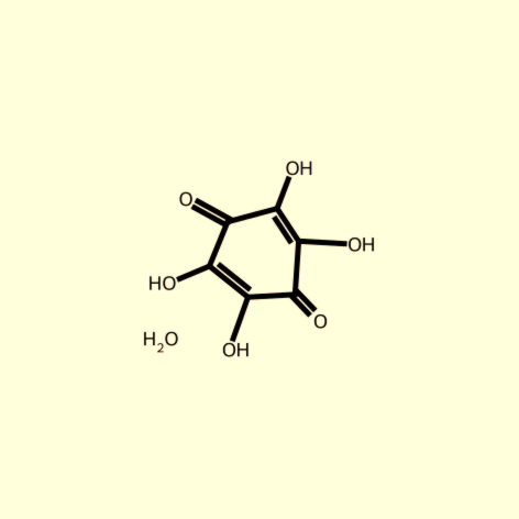 O.O=C1C(O)=C(O)C(=O)C(O)=C1O